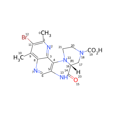 Cc1nc2c3c(cnc2c(C)c1Br)NC(=O)[C@H]1CN(C(=O)O)CCN31